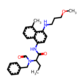 CCC(C(=O)Nc1ccc(NCCCOC)c2c(C)cccc12)N(C=O)Cc1ccccc1